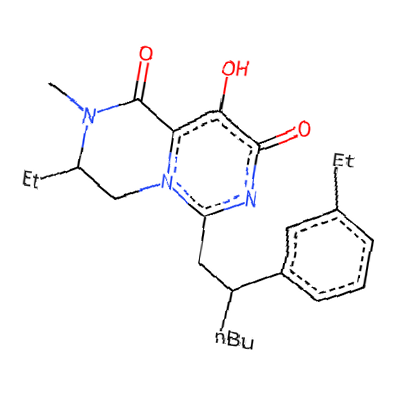 CCCCC(Cc1nc(=O)c(O)c2n1CC(CC)N(C)C2=O)c1cccc(CC)c1